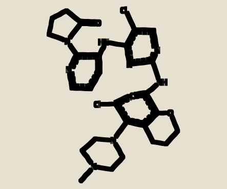 CN1CCN(c2c(Cl)cc(Nc3ncc(Cl)c(Nc4cccnc4N4CCCC4=O)n3)c3c2CCCO3)CC1